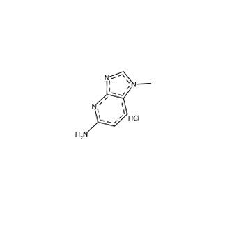 Cl.Cn1cnc2nc(N)ccc21